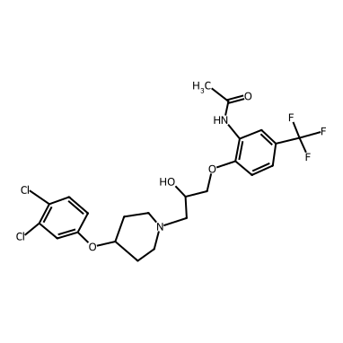 CC(=O)Nc1cc(C(F)(F)F)ccc1OCC(O)CN1CCC(Oc2ccc(Cl)c(Cl)c2)CC1